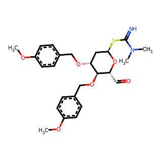 COc1ccc(CO[C@@H]2[C@@H](C=O)O[C@H](SC(=N)N(C)C)C[C@H]2OCc2ccc(OC)cc2)cc1